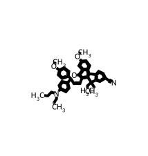 CCCN(CCC)c1ccc(C2(c3ccc(OC)cc3)C=Cc3c4c(c5ccc(OC)cc5c3O2)-c2ccc(C#N)cc2C4(CC)CC)cc1